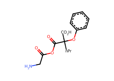 CCCC(Oc1ccccc1)(C(=O)O)C(=O)OC(=O)CN